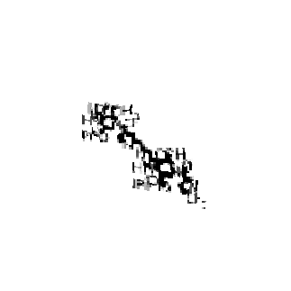 CCCc1n[nH]c2c1C(C)(C)CN(C(=O)c1ccnc(CCCc3n[nH]c4c3C(C)(C)CN(C(=O)c3ccc(C(F)(F)F)nc3)C=C4C(=O)OC(C)C)c1)C=C2C(=O)OC(C)C